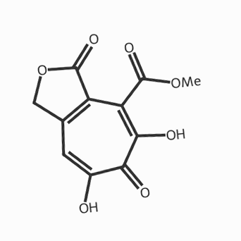 COC(=O)c1c2c(cc(O)c(=O)c1O)COC2=O